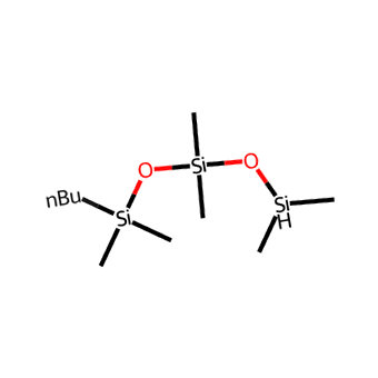 CCCC[Si](C)(C)O[Si](C)(C)O[SiH](C)C